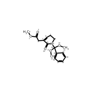 COC(=O)CC1=CCCN(C(OC)(OC)c2ccccc2)C1=O